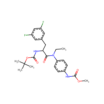 CCN(C(=O)C(Cc1cc(F)cc(F)c1)NC(=O)OC(C)(C)C)c1ccc(NC(=O)OC)cc1